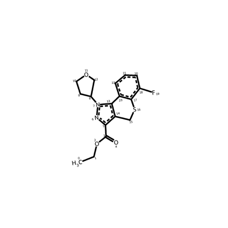 CCOC(=O)c1nn(C2CCOC2)c2c1CSc1c(F)cccc1-2